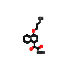 COC(=O)C(=O)c1ccc(OCCCC#N)c2ccccc12